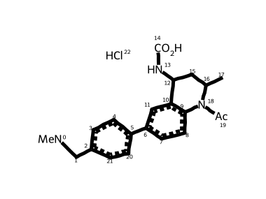 CNCc1ccc(-c2ccc3c(c2)C(NC(=O)O)CC(C)N3C(C)=O)cc1.Cl